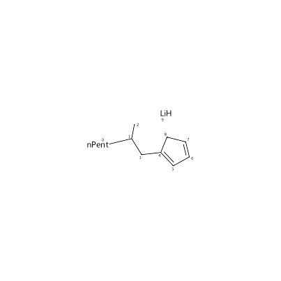 CCCCCC(C)CC1=CC=CC1.[LiH]